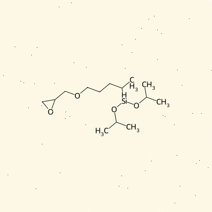 CC(C)O[SiH](OC(C)C)C(C)CCCOCC1CO1